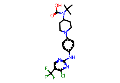 CC(C)(C)N(C(=O)O)C1CCN(c2ccc(Nc3ncc(C(F)(F)F)c(Cl)n3)cc2)CC1